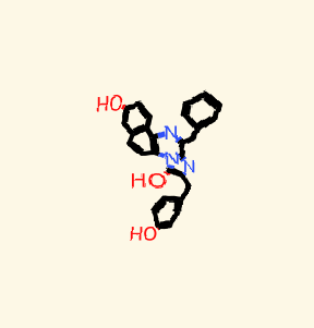 Oc1ccc(Cc2nc3c(Cc4ccccc4)nc4c5ccc(O)cc5ccc4n3c2O)cc1